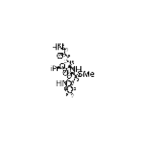 CS[C@@H](Cc1c[nH]c2ccccc12)C(=O)N[C@@H](CCCC(=O)C=N)C(=O)OC(C)C